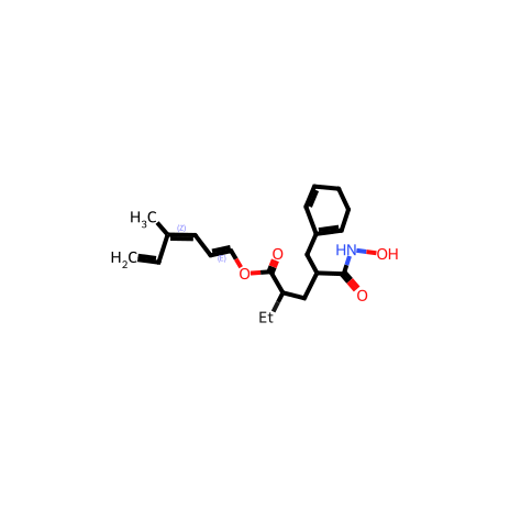 C=C/C(C)=C\C=C\OC(=O)C(CC)CC(CC1=CCCC=C1)C(=O)NO